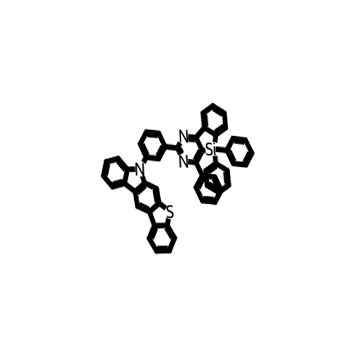 c1ccc(-c2nc(-c3cccc(-n4c5ccccc5c5cc6c(cc54)sc4ccccc46)c3)nc3c2[Si](c2ccccc2)(c2ccccc2)c2ccccc2-3)cc1